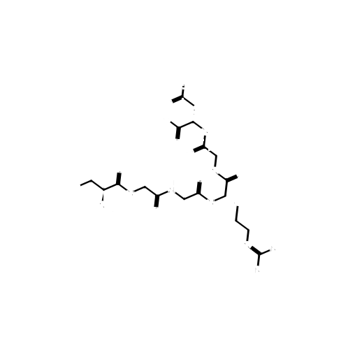 NC(N)=NCCC[C@H](NC(=O)CNC(=O)CNC(=O)[C@@H](N)CS)C(=O)NCC(=O)N[C@@H](CC(=O)O)C(=O)O